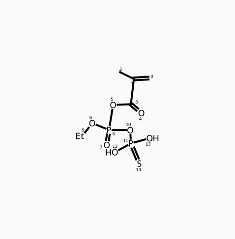 C=C(C)C(=O)OP(=O)(OCC)OP(O)(O)=S